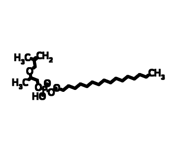 C=C(C)COC(C)COP(=O)(O)OOCCCCCCCCCCCCCCCC